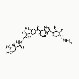 CCc1cc(Nc2nccn3c(C4CC[C@H](OCN)C(F)C4F)cnc23)ccc1C(=O)NCCNC(=O)[C@@H](N)CO